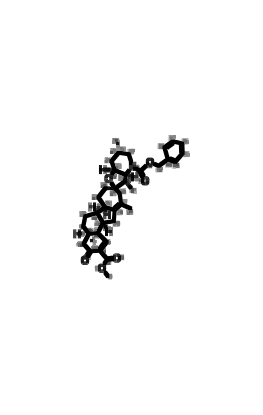 COC(=O)C1=C[C@@]2(C)[C@H](CC[C@H]3[C@@H]4CC[C@@]5(CC(C)=C4C[C@@H]32)O[C@@H]2C[C@H](C)CN(C(=O)OCc3ccccc3)[C@H]2[C@H]5C)CC1=O